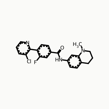 CN1CCCc2ccc(NC(=O)c3ccc(-c4ncccc4Cl)c(F)c3)cc21